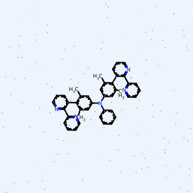 Cc1cc(N(c2ccccc2)c2cc(C)c(-c3cccnc3-c3ccccn3)c(C)c2)cc(C)c1-c1cccnc1-c1ccccn1